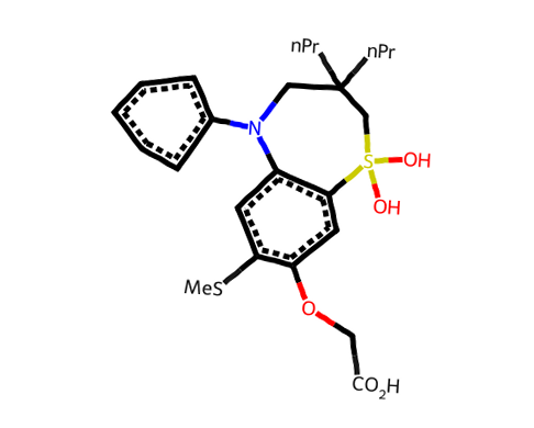 CCCC1(CCC)CN(c2ccccc2)c2cc(SC)c(OCC(=O)O)cc2S(O)(O)C1